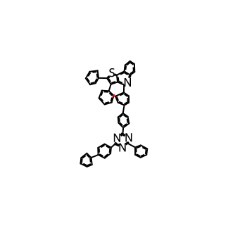 c1ccc(-c2ccc(-c3nc(-c4ccccc4)nc(-c4ccc(-c5ccc(-c6nc7ccccc7c7sc(-c8ccccc8)c(-c8ccccc8)c67)cc5)cc4)n3)cc2)cc1